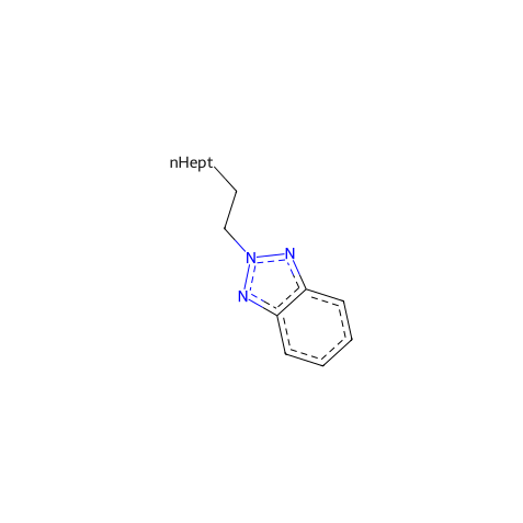 CCCCCCCCCn1nc2ccccc2n1